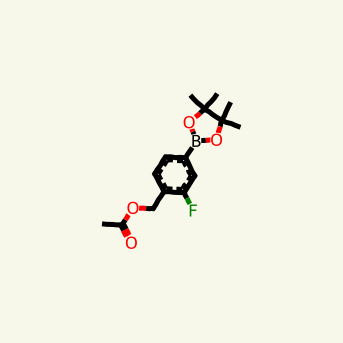 CC(=O)OCc1ccc(B2OC(C)(C)C(C)(C)O2)cc1F